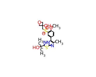 COc1ccc(-c2c(C)nc3sc(C(C)(C)O)nn23)cc1S(=O)(=O)CC1(O)COC1